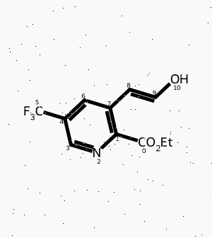 CCOC(=O)c1ncc(C(F)(F)F)cc1/C=C/O